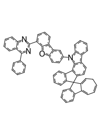 C1=CCC=C2C(=C1)c1ccccc1C21c2ccccc2-c2c1ccc1c3ccccc3n(-c3ccc4oc5c(-c6nc(-c7ccccc7)c7ccccc7n6)cccc5c4c3)c21